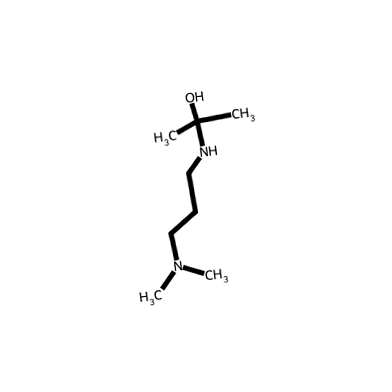 CN(C)CCCNC(C)(C)O